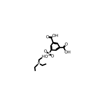 CCP(CC)CC.O=C(O)c1cc(C(=O)O)cc(S(=O)(=O)O)c1